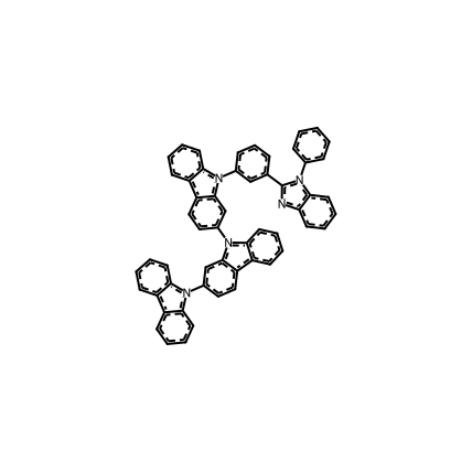 c1ccc(-n2c(-c3cccc(-n4c5ccccc5c5ccc(-n6c7ccccc7c7ccc(-n8c9ccccc9c9ccccc98)cc76)cc54)c3)nc3ccccc32)cc1